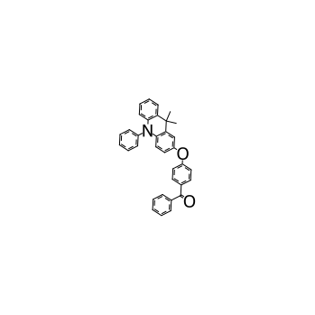 CC1(C)c2ccccc2N(c2ccccc2)c2ccc(Oc3ccc(C(=O)c4ccccc4)cc3)cc21